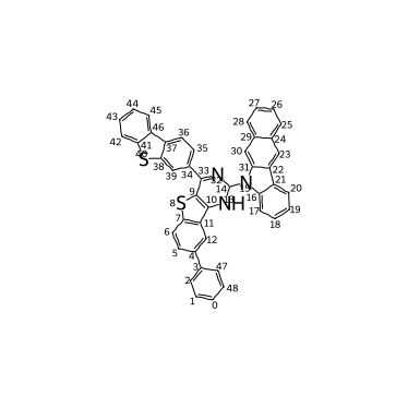 c1ccc(-c2ccc3sc4c(c3c2)NC(n2c3ccccc3c3cc5ccccc5cc32)N=C4c2ccc3c(c2)sc2ccccc23)cc1